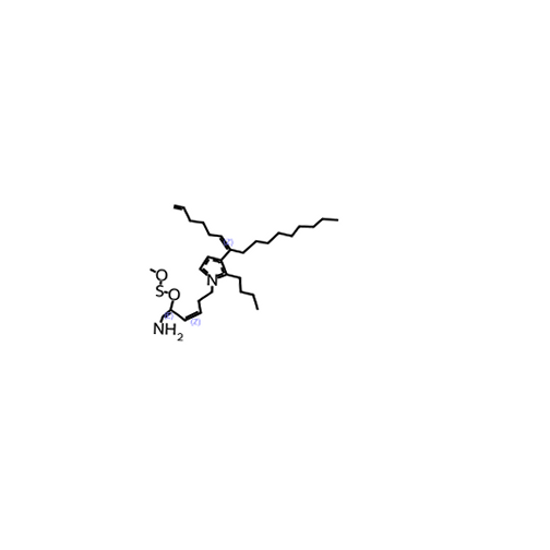 C=CCCC/C=C(/CCCCCCCCC)c1ccn(CC/C=C\C(=C/N)OSOC)c1CCCC